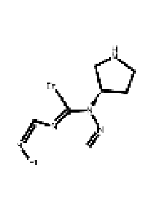 C=NN(/C(CC)=N/C=N\CC)[C@@H]1CCNC1